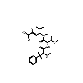 CN[C@H](C(=O)N[C@H](C(=O)N(C)[C@H](/C=C(\C)C(=O)O)C(C)C)C(C)OC)C(C)(C)c1ccccc1